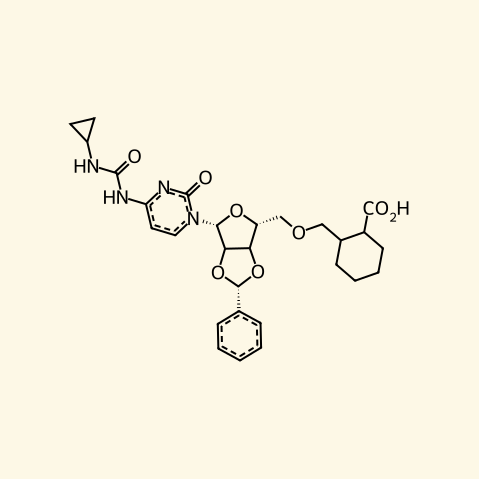 O=C(Nc1ccn([C@@H]2O[C@H](COCC3CCCCC3C(=O)O)C3O[C@H](c4ccccc4)OC32)c(=O)n1)NC1CC1